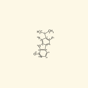 CC(C)c1c(F)cc2c(oc3c(Cl)nccc32)c1F